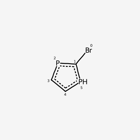 Brc1pcc[pH]1